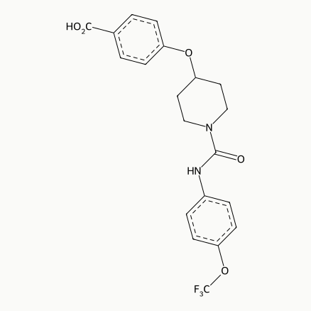 O=C(O)c1ccc(OC2CCN(C(=O)Nc3ccc(OC(F)(F)F)cc3)CC2)cc1